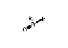 [O]=[Pr][Ir].[Ru]